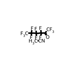 CC#N.O=C(C(F)(F)F)C(F)(F)C(F)(F)C(F)(F)C(F)(F)F